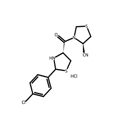 Cl.N#C[C@@H]1CSCN1C(=O)[C@@H]1CSC(c2ccc(Cl)cc2)N1